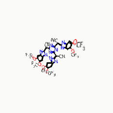 N#CC(=C1N=c2cc(OC(F)(F)F)c(OC(F)(F)F)cc2=N1)c1nc(C(C#N)=C2N=c3cc(OC(F)(F)F)c(OC(F)(F)F)cc3=N2)nc(C(C#N)=C2N=c3cc(OC(F)(F)F)c(OC(F)(F)F)cc3=N2)n1